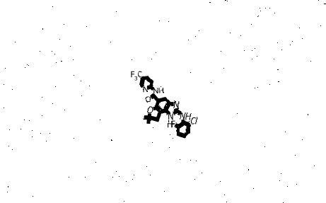 CC1(C)Cc2c(c(C(=O)Nc3ccc(C(F)(F)F)cn3)cc3nc(Nc4c(F)cccc4Cl)[nH]c23)O1